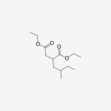 CCOC(=O)CC(CC(C)CC)C(=O)OCC